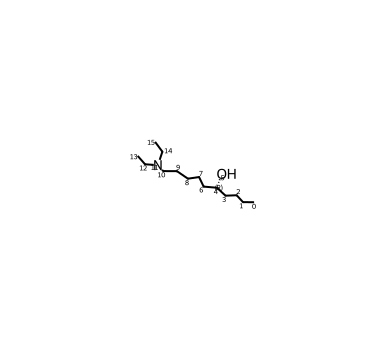 CCCC[C@@H](O)CCCCCN(CC)CC